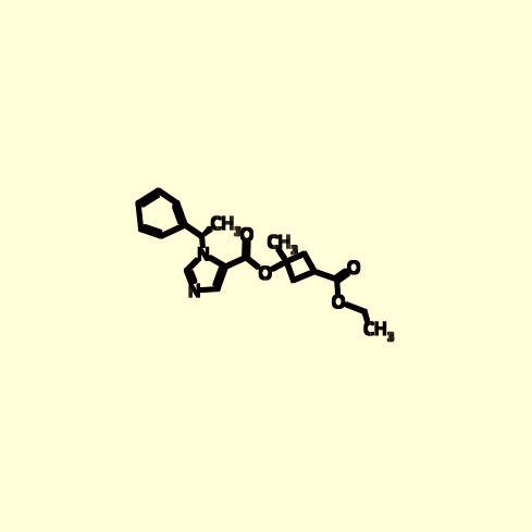 CCOC(=O)C1CC(C)(OC(=O)c2cncn2[C@H](C)c2ccccc2)C1